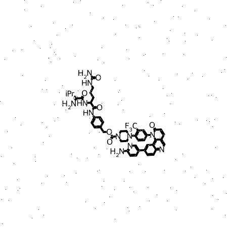 CC(C)[C@H](N)C(=O)NC(CCCNC(N)=O)C(=O)Nc1ccc(COC(=O)N2CCN(c3ccc(-n4c(=O)ccc5cnc6ccc(-c7ccc(N)nc7)cc6c54)cc3C(F)(F)F)CC2)cc1